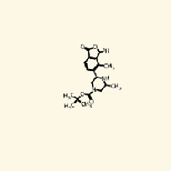 [2H]C1OC(=O)c2ccc([C@@H]3CN(C(=O)OC(C)(C)C)C[C@H](C)N3)c(C)c21